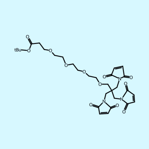 CC(C)(C)OC(=O)CCOCCOCCOCCOCC(CN1C(=O)C=CC1=O)(CN1C(=O)C=CC1=O)CN1C(=O)C=CC1=O